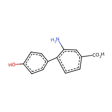 Nc1cc(C(=O)O)ccc1-c1ccc(O)cc1